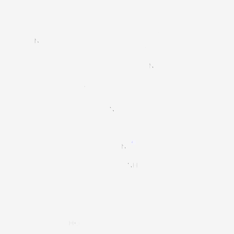 CCCN(CCC)c1cc(/C=N/Nc2ccc(O)cc2)nc(OCCc2ccccn2)c1